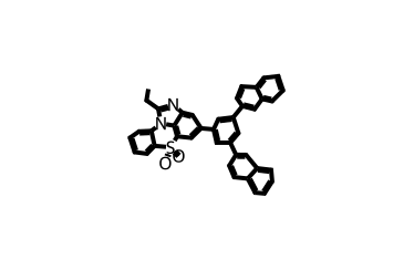 CCc1nc2cc(-c3cc(-c4ccc5ccccc5c4)cc(-c4ccc5ccccc5c4)c3)cc3c2n1-c1ccccc1S3(=O)=O